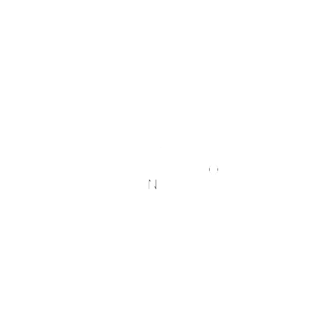 CCN(CC)c1ccccc1[O]